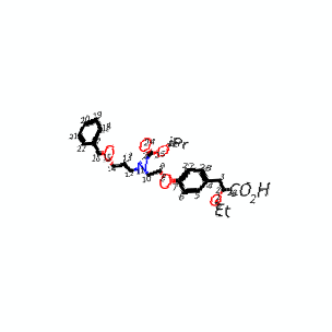 CCOC(Cc1ccc(OCCN(CCCOCc2ccccc2)C(=O)OC(C)C)cc1)C(=O)O